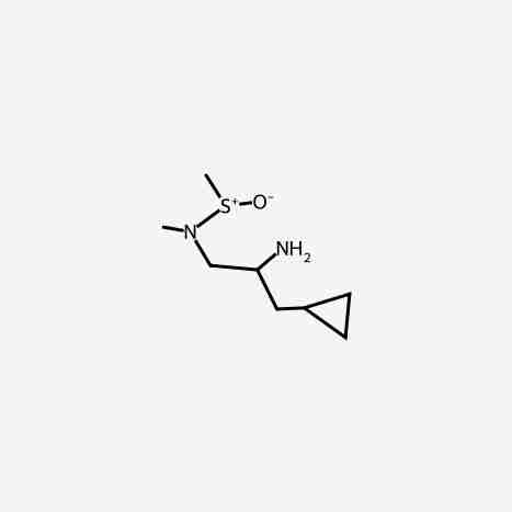 CN(CC(N)CC1CC1)[S+](C)[O-]